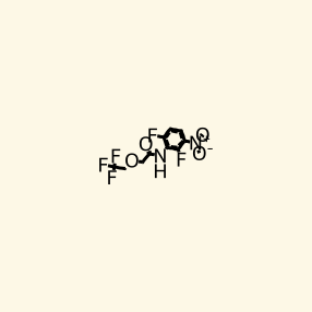 O=C(COCC(F)(F)F)Nc1c(F)ccc([N+](=O)[O-])c1F